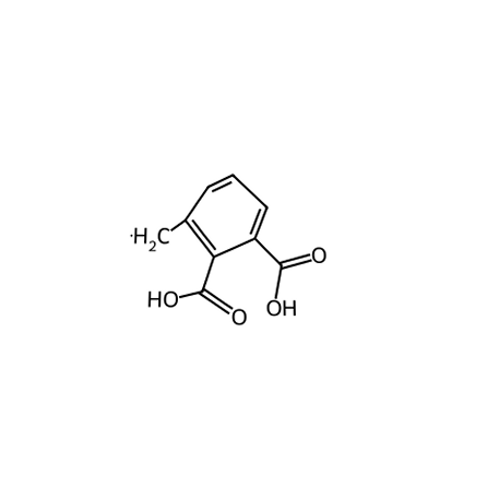 [CH2]c1cccc(C(=O)O)c1C(=O)O